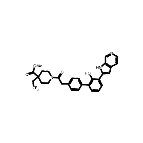 COC(=O)C1(CC(F)(F)F)CCN(C(=O)Cc2ccc(-c3cccc(-c4cc5ccncc5[nH]4)c3O)cc2)CC1